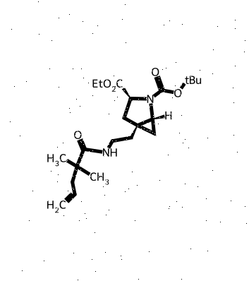 C=CCC(C)(C)C(=O)NCC[C@@]12C[C@@H](C(=O)OCC)N(C(=O)OC(C)(C)C)[C@@H]1C2